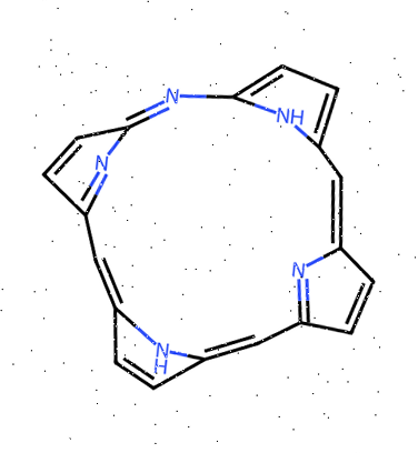 C1=Cc2cc3ccc(nc4nc(cc5ccc(cc1n2)[nH]5)C=C4)[nH]3